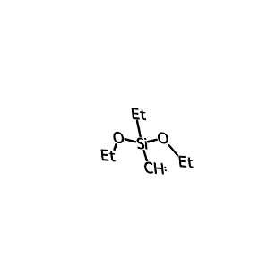 [CH][Si](CC)(OCC)OCC